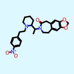 CC(C1CCCCN1CCc1ccc([N+](=O)[O-])cc1)N1CCc2cc3c(cc2CC1=O)OCO3